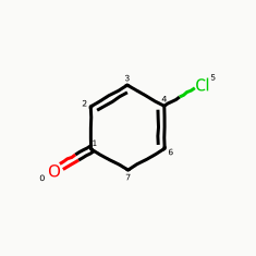 O=C1C=CC(Cl)=CC1